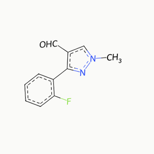 Cn1cc(C=O)c(-c2ccccc2F)n1